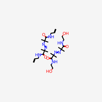 C=CCNC(=O)C(C)(C)N=NC(C)(C)C(=O)NCC=C.CC(C)(N=NC(C)(C)C(=O)NCCO)C(=O)NCCO